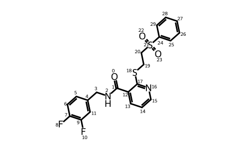 O=C(NCc1ccc(F)c(F)c1)c1cccnc1SCCS(=O)(=O)c1ccccc1